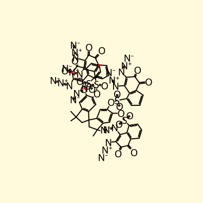 CC1(C)CC2(CC(C)(C)c3cc(OS(=O)(=O)c4cccc5c4C(N=[N+]=[N-])=C(N=[N+]=[N-])C(=O)C5=O)c(OS(=O)(=O)c4cccc5c4C(N=[N+]=[N-])=C(N=[N+]=[N-])C(=O)C5=O)cc32)c2cc(OS(=O)(=O)c3cccc4c3C(N=[N+]=[N-])=C(N=[N+]=[N-])C(=O)C4=O)c(OS(=O)(=O)c3cccc4c3C(N=[N+]=[N-])=C(N=[N+]=[N-])C(=O)C4=O)cc21